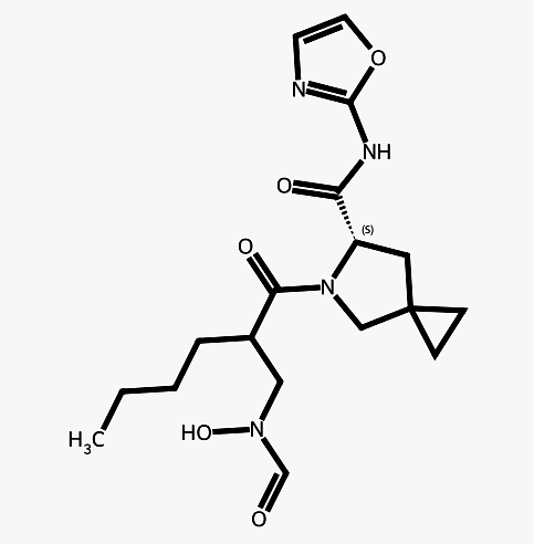 CCCCC(CN(O)C=O)C(=O)N1CC2(CC2)C[C@H]1C(=O)Nc1ncco1